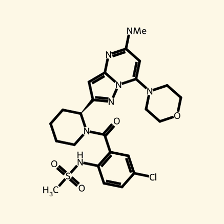 CNc1cc(N2CCOCC2)n2nc([C@@H]3CCCCN3C(=O)c3cc(Cl)ccc3NS(C)(=O)=O)cc2n1